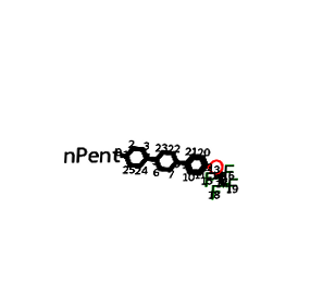 CCCCCC1CCC(C2CCC(c3ccc(OC(F)(F)C(F)F)cc3)CC2)CC1